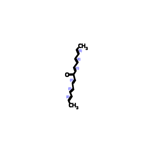 C/C=C/C=C/C=C/C(=O)/C=C/C=C/C=C/C